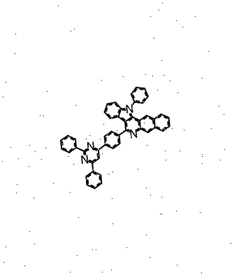 c1ccc(-c2cc(-c3ccc(-c4nc5cc6ccccc6cc5c5c4c4ccccc4n5-c4ccccc4)cc3)nc(-c3ccccc3)n2)cc1